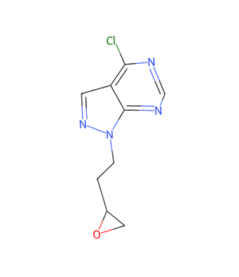 Clc1ncnc2c1cnn2CCC1CO1